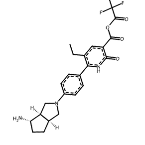 CCc1cc(C(=O)OC(=O)C(F)(F)F)c(=O)[nH]c1-c1ccc(N2C[C@H]3CC[C@H](N)[C@H]3C2)cc1